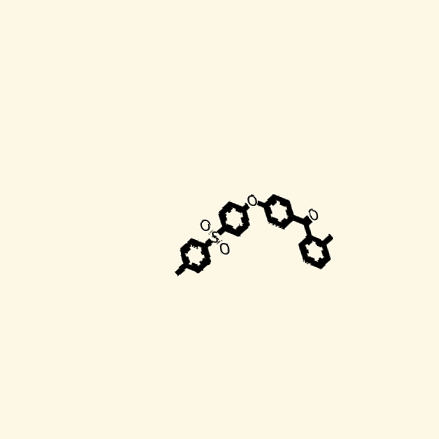 Cc1ccc(S(=O)(=O)c2ccc(Oc3ccc(C(=O)c4ccccc4C)cc3)cc2)cc1